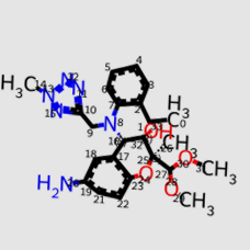 CCc1ccccc1N(Cc1nnn(C)n1)[C@H]1c2cc(N)ccc2O[C@](C)(C(OC)OC)[C@@H]1O